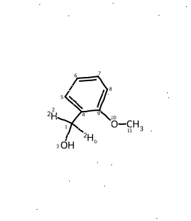 [2H]C([2H])(O)c1ccccc1OC